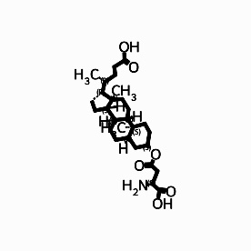 C[C@H](CCC(=O)O)[C@H]1CC[C@H]2[C@@H]3CC[C@@H]4C[C@@H](OC(=O)C[C@H](N)C(=O)O)CC[C@]4(C)[C@H]3CC[C@]12C